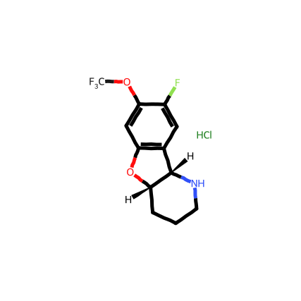 Cl.Fc1cc2c(cc1OC(F)(F)F)O[C@H]1CCCN[C@@H]21